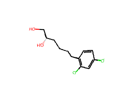 OC[C@@H](O)CCCCc1ccc(Cl)cc1Cl